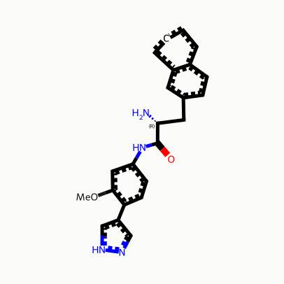 COc1cc(NC(=O)[C@H](N)Cc2ccc3ccccc3c2)ccc1-c1cn[nH]c1